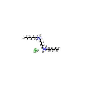 CCCCCCCC[N+](C)(C)CCCCCC[N+](C)(C)CCCCCCCC.[Br-].[Br-]